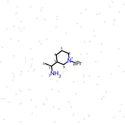 CC(N)C1CCCN(C(C)C)C1